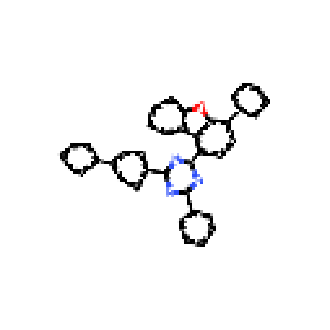 c1ccc(-c2ccc(-c3nc(-c4ccccc4)nc(-c4ccc(-c5ccccc5)c5oc6ccccc6c45)n3)cc2)cc1